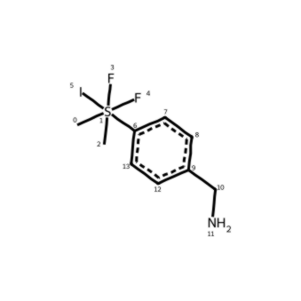 CS(C)(F)(F)(I)c1ccc(CN)cc1